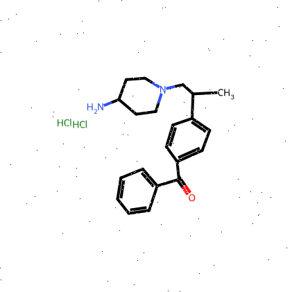 CC(CN1CCC(N)CC1)c1ccc(C(=O)c2ccccc2)cc1.Cl.Cl